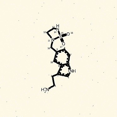 NCCc1c[nH]c2ccc(CN3CCNS3(=O)=O)cc12